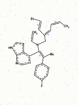 C=CN(CC(/C=C/CC)=C/C=C\C)/C(=C(/c1ccc(F)cc1)C(C)CC)c1ccnc2[nH]ccc12